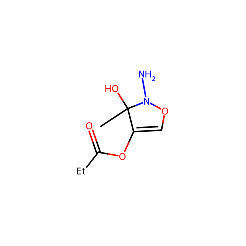 CCC(=O)OC1=CON(N)C1(C)O